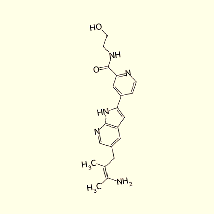 C/C(N)=C(\C)Cc1cnc2[nH]c(-c3ccnc(C(=O)NCCO)c3)cc2c1